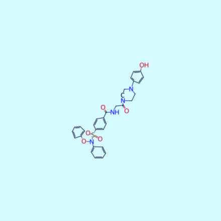 O=C(NCC(=O)N1CCN(c2ccc(O)cc2)CC1)c1ccc(S(=O)(=O)N(Oc2ccccc2)c2ccccc2)cc1